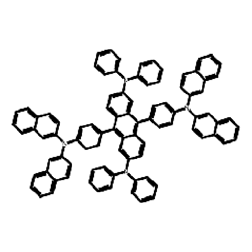 C1=C(c2c3cc(N(c4ccccc4)c4ccccc4)ccc3c(-c3ccc(N(c4ccc5ccccc5c4)c4ccc5ccccc5c4)cc3)c3cc(N(c4ccccc4)c4ccccc4)ccc23)CCC(N(c2ccc3ccccc3c2)c2ccc3ccccc3c2)=C1